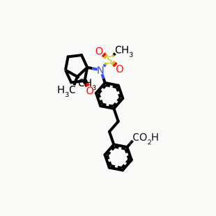 CC1(C)C2CCC1(N(c1ccc(CCc3ccccc3C(=O)O)cc1)S(C)(=O)=O)C(=O)C2